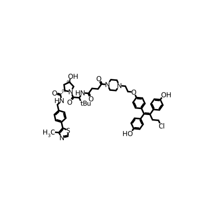 Cc1ncsc1-c1ccc(CNC(=O)[C@@H]2C[C@@H](O)CN2C(=O)C(NC(=O)CCC(=O)N2CCN(CCOc3ccc(C(=C(CCCl)c4ccc(O)cc4)c4ccc(O)cc4)cc3)CC2)C(C)(C)C)cc1